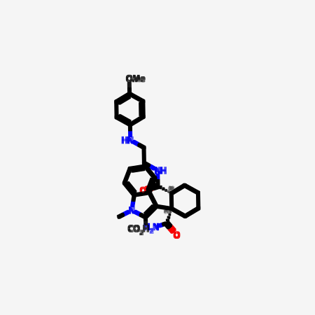 COc1ccc(NCCNC(=O)[C@@H]2CCCC[C@@]2(C(N)=O)c2c(C(=O)O)n(C)c3ccccc23)cc1